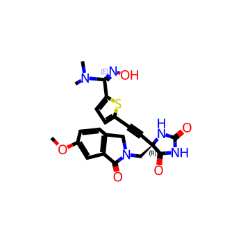 COc1ccc2c(c1)C(=O)N(C[C@@]1(C#Cc3ccc(/C(=N\O)N(C)C)s3)NC(=O)NC1=O)C2